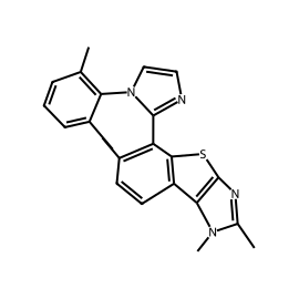 Cc1cccc(C)c1-n1ccnc1-c1c(C)ccc2c1sc1nc(C)n(C)c12